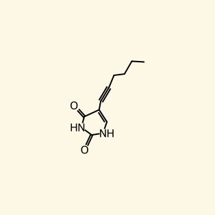 CCCCC#Cc1c[nH]c(=O)[nH]c1=O